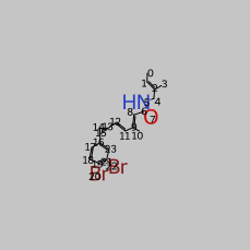 CC=C(C)CNC(=O)C=C(C)C=CC1CC1c1ccc(Br)c(Br)c1